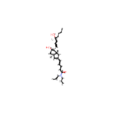 CCCC[C@](C)(O)C/C=C/[C@@H]1[C@H]2CC(CCCCC(=O)N(CCC)CCC)=C[C@H]2C[C@H]1O